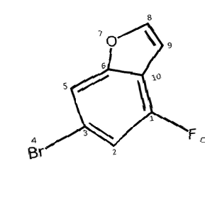 Fc1cc(Br)cc2occc12